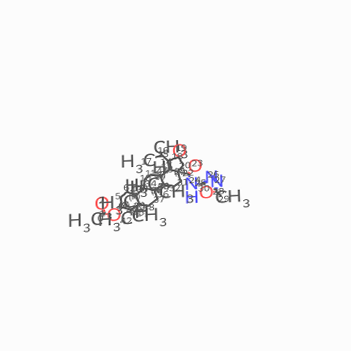 CC(=O)O[C@H]1CC[C@]2(C)[C@H]3CC[C@@H]4C5=C(C(C)C)C(=O)C[C@]5(C(=O)Nc5nnc(C)o5)CC[C@@]4(C)[C@]3(C)CC[C@H]2C1(C)C